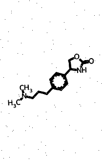 CN(C)CCCc1ccc(C2COC(=O)N2)cc1